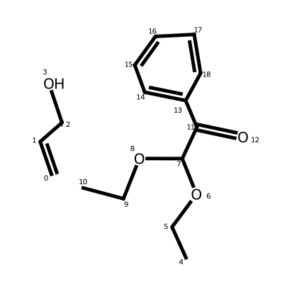 C=C[CH]O.CCOC(OCC)C(=O)c1ccccc1